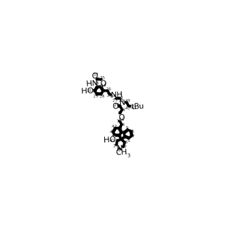 CN1CCC(c2ccccc2)(c2cc(CCOCCC(=O)N(CCNCCc3ccc(O)c4c3OCC(=O)N4)CCC(C)(C)C)ccc2O)CC1